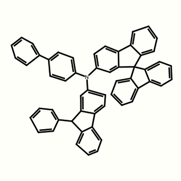 c1ccc(-c2ccc(N(c3ccc4c(c3)C(c3ccccc3)c3ccccc3-4)c3ccc4c(c3)C3(c5ccccc5-c5ccccc53)c3ccccc3-4)cc2)cc1